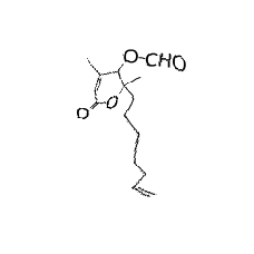 C=CCCCCCC1(C)OC(=O)C=C(C)C1OC=O